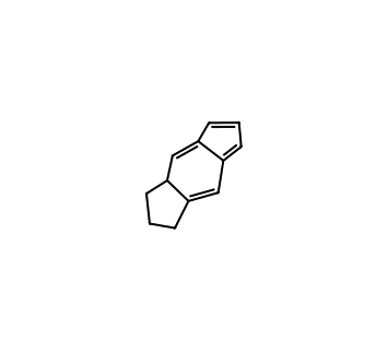 C1=CC2=CC3CCCC3=CC2=C1